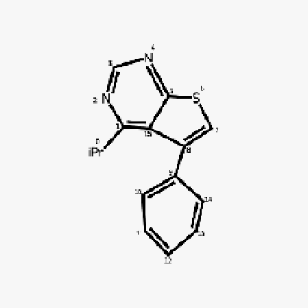 CC(C)c1ncnc2scc(-c3ccccc3)c12